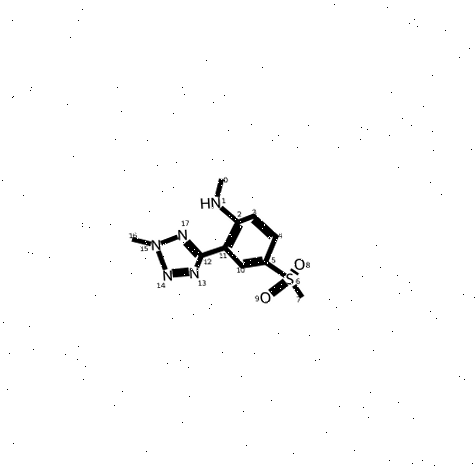 CNc1ccc(S(C)(=O)=O)cc1-c1nnn(C)n1